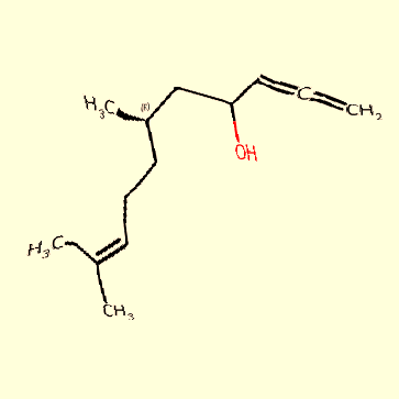 C=C=CC(O)C[C@H](C)CCC=C(C)C